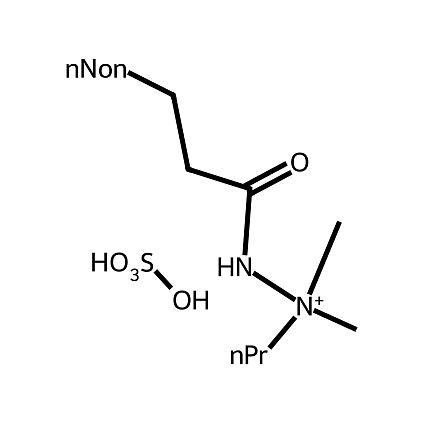 CCCCCCCCCCCC(=O)N[N+](C)(C)CCC.O=S(=O)(O)O